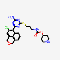 Nc1nc(SCCCNC(=O)OC2CCNCC2)nc(-c2c(Cl)cc3c4c(cccc24)COC3)n1